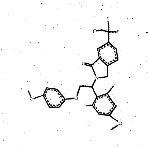 COc1ccc(OCC(c2c(F)cc(OC)cc2F)N2Cc3ccc(C(F)(F)F)cc3C2=O)cc1